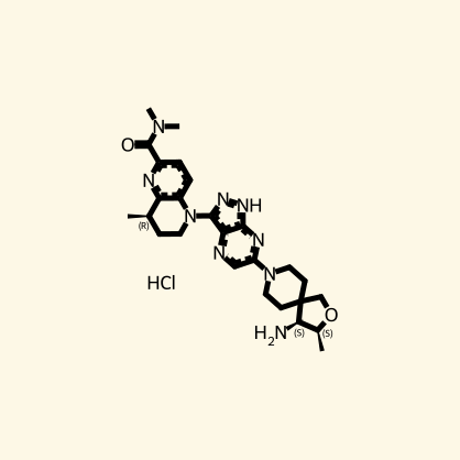 C[C@@H]1CCN(c2n[nH]c3nc(N4CCC5(CC4)CO[C@@H](C)[C@H]5N)cnc23)c2ccc(C(=O)N(C)C)nc21.Cl